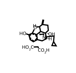 C=C1CC[C@@]2(O)[C@H]3Cc4ccc(O)c5c4[C@@]2(CCN3CC2CC2)[C@H]1O5.O=C(O)CC(=O)O